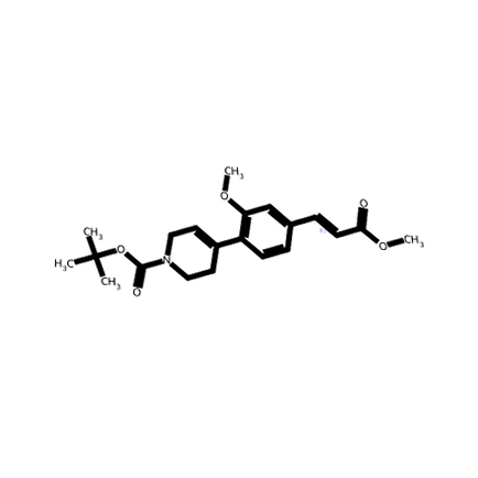 COC(=O)/C=C/c1ccc(C2=CCN(C(=O)OC(C)(C)C)CC2)c(OC)c1